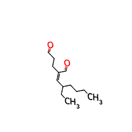 CCCCC(/C=C(\C=O)CCC=O)CC